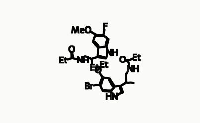 CCC(=O)NCC(CC)c1c[nH]c2cc(F)c(OC)cc12.CCOc1cc2c(C(C)CNC(=O)CC)c[nH]c2cc1Br